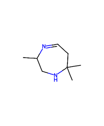 CC1CNC(C)(C)CC=N1